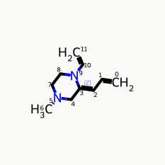 C=C/C=C1/CN(C)CCN1C=C